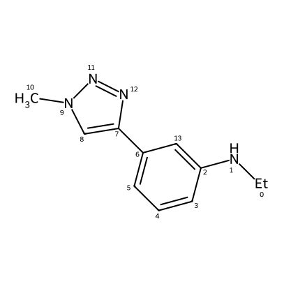 CCNc1cccc(-c2cn(C)nn2)c1